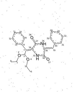 CCOC(OCC)/C(c1ccccc1)=c1\[nH]c(=O)/c(=C/c2ccccc2)[nH]c1=O